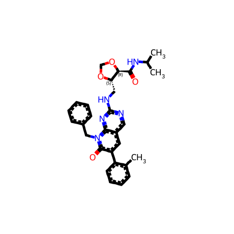 Cc1ccccc1-c1cc2cnc(NC[C@@H]3OCO[C@H]3C(=O)NC(C)C)nc2n(Cc2ccccc2)c1=O